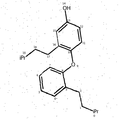 CC(C)CCc1ccccc1Oc1ccc(O)cc1CCC(C)C